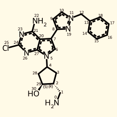 NC[C@H]1CC(n2cc(-c3ccn(Cc4ccccc4)n3)c3c(N)nc(Cl)nc32)C[C@@H]1O